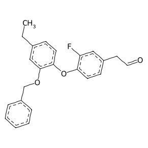 CCc1ccc(Oc2ccc(CC=O)cc2F)c(OCc2ccccc2)c1